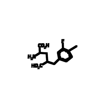 Cc1ccc(CC(CC(N)C(=O)O)C(=O)O)cc1F